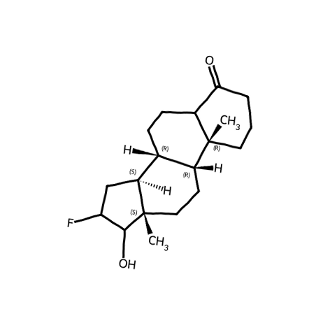 C[C@]12CCCC(=O)C1CC[C@@H]1[C@H]2CC[C@]2(C)C(O)C(F)C[C@@H]12